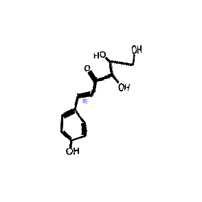 O=C(/C=C/c1ccc(O)cc1)C(O)C(O)CO